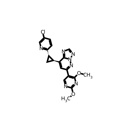 COc1ncc(-c2cc([C@H]3C[C@@H]3c3ccc(Cl)cn3)c3ncnn3n2)c(OC)n1